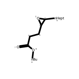 CCCCCCCC1OC1CCC(=O)OCCCC